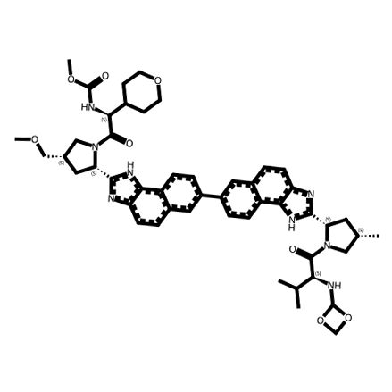 COC[C@H]1C[C@@H](c2nc3ccc4cc(-c5ccc6c(ccc7nc([C@@H]8C[C@H](C)CN8C(=O)[C@@H](NC8OCO8)C(C)C)[nH]c76)c5)ccc4c3[nH]2)N(C(=O)[C@@H](NC(=O)OC)C2CCOCC2)C1